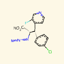 [N-]=[N+]=N[C@H](C(=O)O)[C@@H](c1ccc(Cl)cc1)c1ccncc1F